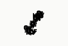 O=c1cnc2ccc(F)cc2n1CCN1CCC(NCc2ncc3c(n2)OCCO3)CC1